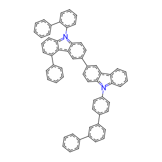 c1ccc(-c2cccc(-c3ccc(-n4c5ccccc5c5cc(-c6ccc7c(c6)c6c(-c8ccccc8)cccc6n7-c6ccccc6-c6ccccc6)ccc54)cc3)c2)cc1